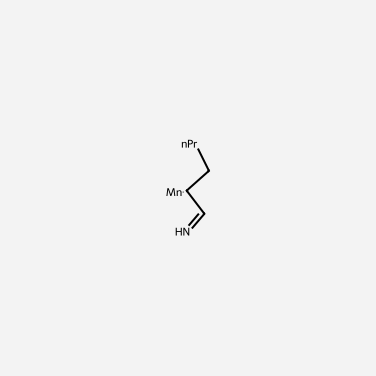 CCCCCC=N.[Mn]